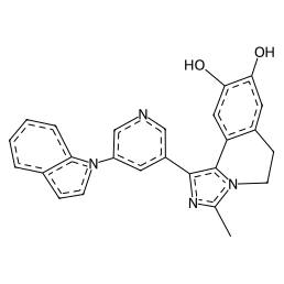 Cc1nc(-c2cncc(-n3ccc4ccccc43)c2)c2n1CCc1cc(O)c(O)cc1-2